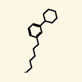 [CH2]CCCCCc1cccc(C2CCCCC2)c1